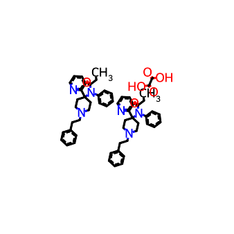 CCC(=O)N(c1ccccc1)C1(c2ccccn2)CCN(CCc2ccccc2)CC1.CCC(=O)N(c1ccccc1)C1(c2ccccn2)CCN(CCc2ccccc2)CC1.O=C(O)C(=O)O